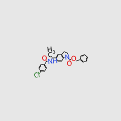 C[C@@H](NC(=O)c1ccc(Cl)cc1)c1ccc2c(c1)CCN2C(=O)OCc1ccccc1